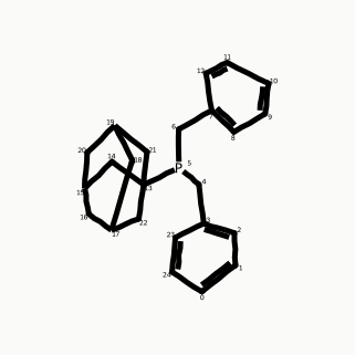 c1ccc(CP(Cc2ccccc2)C23CC4CC(CC(C4)C2)C3)cc1